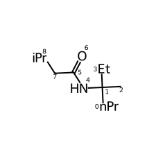 CCCC(C)(CC)NC(=O)CC(C)C